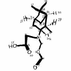 C[C@H]1[C@H](N(COC=O)CC(=O)O)C[C@@H]2C[C@H]1C2(C)C